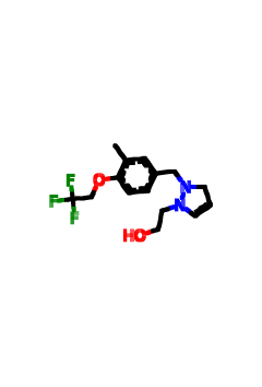 Cc1cc(CN2CC=CN2CCO)ccc1OCC(F)(F)F